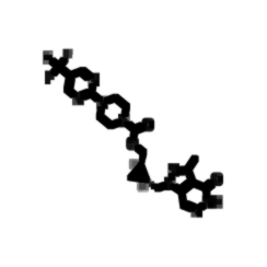 Cc1nn(C[C@@H]2C[C@H]2COC(=O)N2CCN(c3ncc(C(F)(F)F)cn3)CC2)c2cn[nH]c(=O)c12